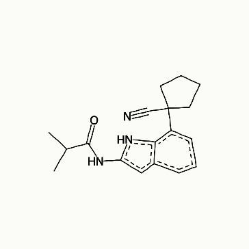 CC(C)C(=O)Nc1cc2cccc(C3(C#N)CCCC3)c2[nH]1